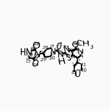 COc1ncc(C2=CCOCC2)c2sc(NC(=O)N3CCC(N4C(=O)CNC4=O)CC3)nc12